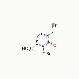 CC(C)COc1c(C(=O)O)ccn(CC(C)C)c1=O